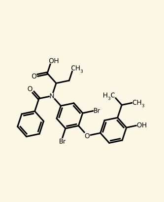 CCC(C(=O)O)N(C(=O)c1ccccc1)c1cc(Br)c(Oc2ccc(O)c(C(C)C)c2)c(Br)c1